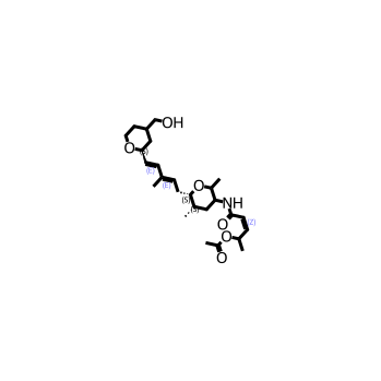 CC(=O)OC(C)/C=C\C(=O)NC1C[C@H](C)[C@H](C/C=C(C)/C=C/[C@@H]2CC(CO)CCO2)OC1C